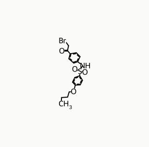 CCCCOc1ccc(S(=O)(=O)Nc2ccc(C(=O)CBr)cc2)cc1